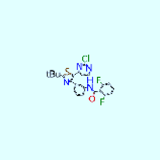 CC(C)(C)c1nc(-c2cccc(NC(=O)c3c(F)cccc3F)c2)c(-c2ccnc(Cl)n2)s1